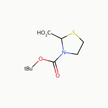 CC(C)(C)OC(=O)N1CCSC1C(=O)O